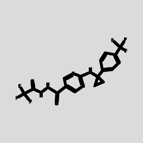 O=C(NNC(=O)C(F)(F)F)c1cnc(NC2(c3ccc(C(F)(F)F)cc3)CC2)nc1